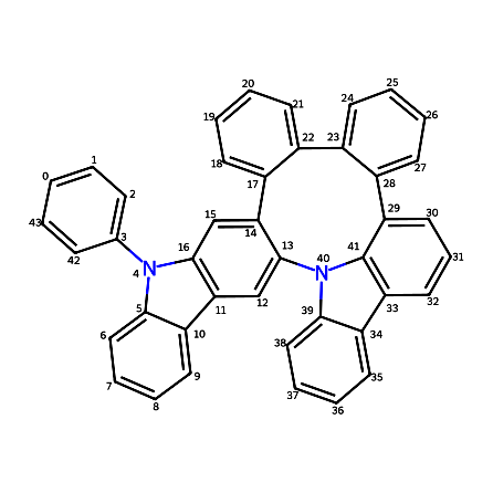 c1ccc(-n2c3ccccc3c3cc4c(cc32)c2ccccc2c2ccccc2c2cccc3c5ccccc5n4c23)cc1